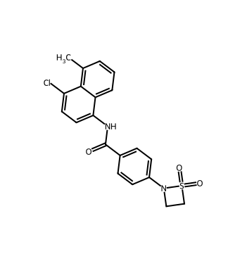 Cc1cccc2c(NC(=O)c3ccc(N4CCS4(=O)=O)cc3)ccc(Cl)c12